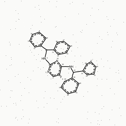 Fc1cnc(NC(c2ccccc2)c2ccccc2)nc1NC(c1ccccc1)c1ccccc1